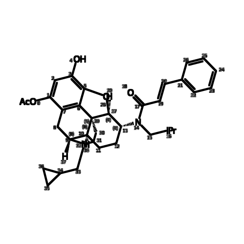 CC(=O)Oc1cc(O)c2c3c1C[C@@H]1[C@@H]4CC[C@@H](N(CC(C)C)C(=O)C=Cc5ccccc5)[C@H](O2)[C@]34CCN1CC1CC1